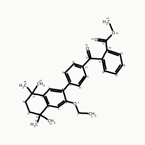 CCOc1cc2c(cc1-c1ccc(C(=O)c3ccccc3C(=O)OC)cc1)C(C)(C)CCC2(C)C